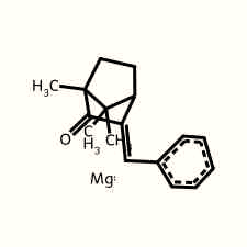 CC12CCC(C(=Cc3ccccc3)C1=O)C2(C)C.[Mg]